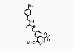 COC(=O)c1cc(CNC(=S)NCc2ccc(C(C)(C)C)cc2)ccc1NS(C)(=O)=O